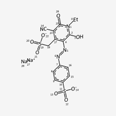 CCn1c(O)c(N=Nc2ccc(S(=O)(=O)[O-])cc2)c(CS(=O)(=O)[O-])c(C#N)c1=O.[Na+].[Na+]